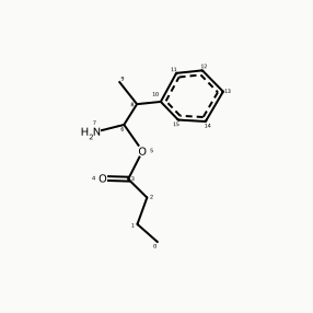 CCCC(=O)OC(N)C(C)c1ccccc1